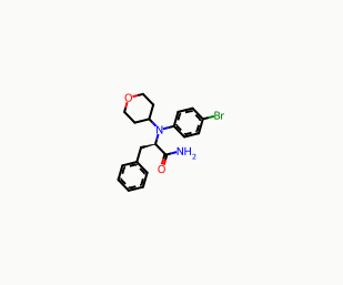 NC(=O)[C@@H](Cc1ccccc1)N(c1ccc(Br)cc1)C1CCOCC1